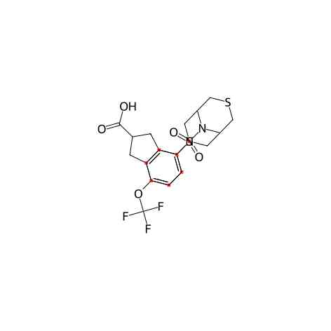 O=C(O)C1Cc2cccc(S(=O)(=O)N3C4CSCC3CN(c3ccc(OC(F)(F)F)cc3)C4)c2C1